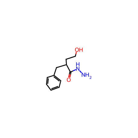 NNC(=O)C(CCO)Cc1ccccc1